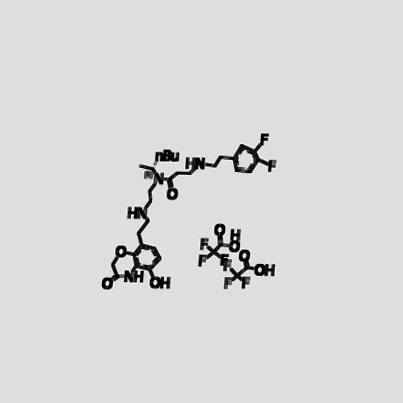 CCCC[C@@H](C)N(CCNCCc1ccc(O)c2c1OCC(=O)N2)C(=O)CCNCCc1ccc(F)c(F)c1.O=C(O)C(F)(F)F.O=C(O)C(F)(F)F